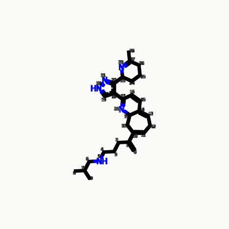 C=C(CCCNCC(C)C)C1=CCC=C2C=CC(c3c[nH]nc3C3CCCC(C)=N3)=NC2C1